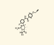 C#CCOc1cnc(C(=O)Nc2ccc(F)c([C@@]3(C)N=C(N)S[C@](C)(C(=O)NCC)[C@H]3C)c2)cn1